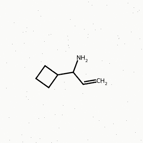 C=CC(N)C1CCC1